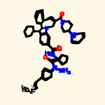 NN(C(=O)C1(NC(=O)c2ccc3c(c2)N2CC(C(=O)N4CCC(N5CCCC5)CC4)Cc4ccccc4C2C3C2CCCCC2)CCCC1)c1ccc(/C=C/C(=O)O)cc1